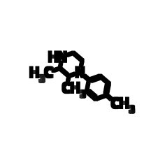 Cc1ccc(N2CCNC(C)C2C)cc1